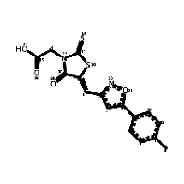 Cc1ccc(-c2cc(/C=C3\SC(=S)N(CC(=O)O)C3=O)no2)cc1